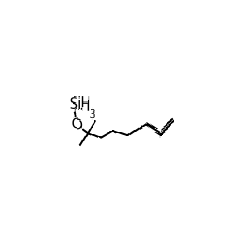 C=CCCCCC(C)(C)O[SiH3]